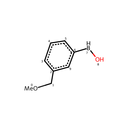 COCc1cccc(BO)c1